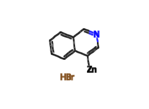 Br.[Zn][c]1cncc2ccccc12